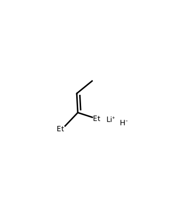 CC=C(CC)CC.[H-].[Li+]